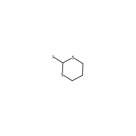 IC1SCCCS1